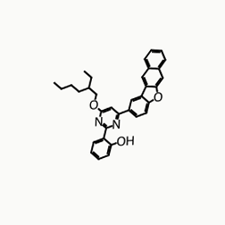 CCCCC(CC)COc1cc(-c2ccc3oc4cc5ccccc5cc4c3c2)nc(-c2ccccc2O)n1